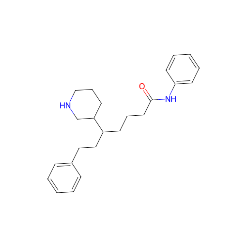 O=C(CCCC(CCc1ccccc1)C1CCCNC1)Nc1ccccc1